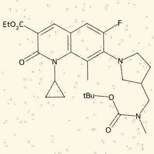 CCOC(=O)c1cc2cc(F)c(N3CCC(CN(C)C(=O)OC(C)(C)C)C3)c(C)c2n(C2CC2)c1=O